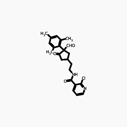 Cc1cc(C)c(C2(C=O)CC(CCNC(=O)c3cccnc3Cl)CC2=O)c(C)c1